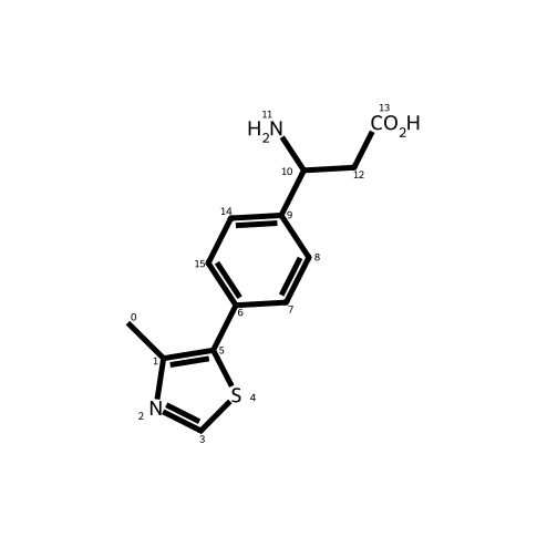 Cc1ncsc1-c1ccc(C(N)CC(=O)O)cc1